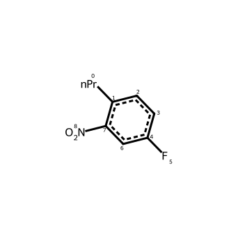 [CH2]CCc1ccc(F)cc1[N+](=O)[O-]